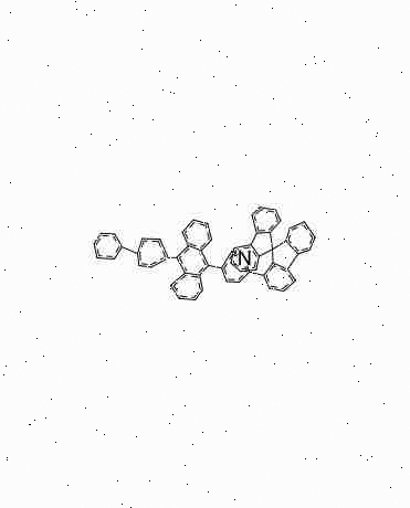 c1ccc(-c2ccc(-c3c4ccccc4c(-c4ccc(-c5cccc6c5C5(c7ccccc7-c7ccccc75)c5ccccc5-6)nc4)c4ccccc34)cc2)cc1